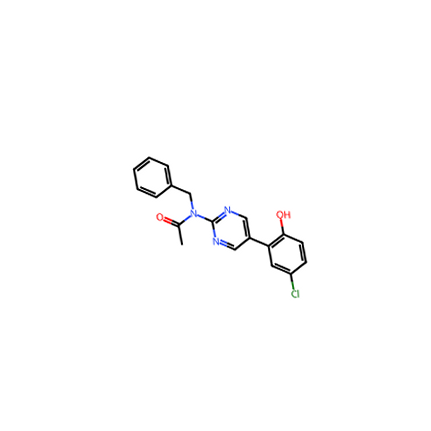 CC(=O)N(Cc1ccccc1)c1ncc(-c2cc(Cl)ccc2O)cn1